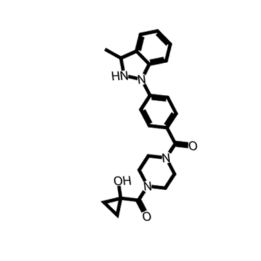 CC1NN(c2ccc(C(=O)N3CCN(C(=O)C4(O)CC4)CC3)cc2)c2ccccc21